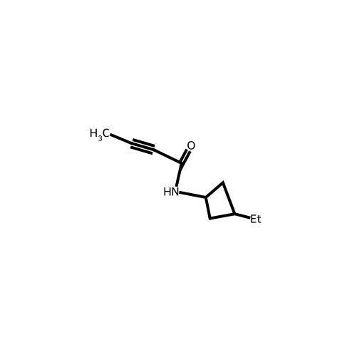 CC#CC(=O)NC1CC(CC)C1